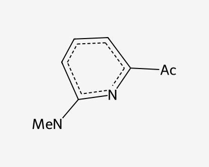 CNc1cccc(C(C)=O)n1